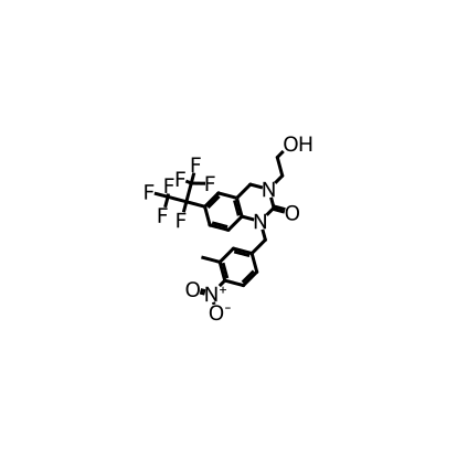 Cc1cc(CN2C(=O)N(CCO)Cc3cc(C(F)(C(F)(F)F)C(F)(F)F)ccc32)ccc1[N+](=O)[O-]